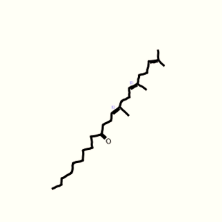 CCCCCCCCCC(=O)CC/C=C(\C)CC/C=C(\C)CCC=C(C)C